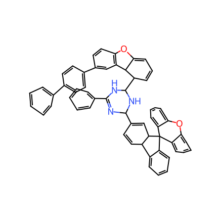 C1=CC(C2NC(c3ccccc3)=NC(C3=CC4C(C=C3)c3ccccc3C43c4ccccc4Oc4ccccc43)N2)C2C(=C1)Oc1ccc(-c3ccc(-c4ccccc4)cc3)cc12